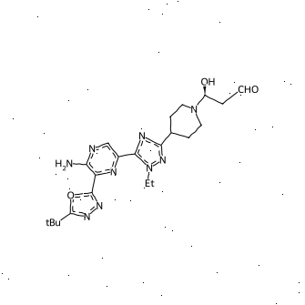 CCn1nc(C2CCN([C@@H](O)CC=O)CC2)nc1-c1cnc(N)c(-c2nnc(C(C)(C)C)o2)n1